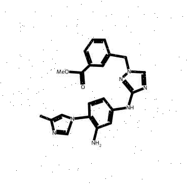 COC(=O)c1cccc(Cn2cnc(Nc3ccc(-n4cnc(C)c4)c(N)c3)n2)c1